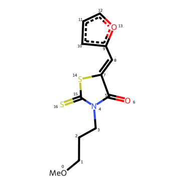 COCCCN1C(=O)C(=Cc2ccco2)SC1=S